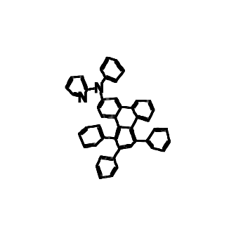 c1ccc(-c2cc(-c3ccccc3)c3c4ccccc4c4cc(N(c5ccccc5)c5ccccn5)ccc4c3c2-c2ccccc2)cc1